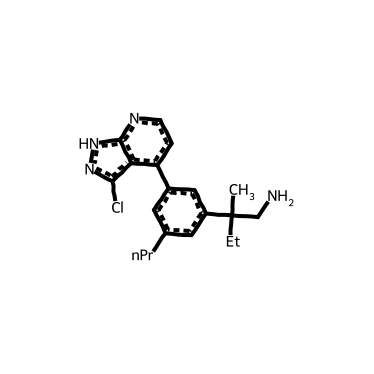 CCCc1cc(-c2ccnc3[nH]nc(Cl)c23)cc(C(C)(CC)CN)c1